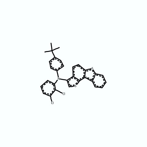 CC(C)(C)c1ccc(N(c2cccc(Cl)c2Cl)c2csc3c2ccc2sc4ccccc4c23)cc1